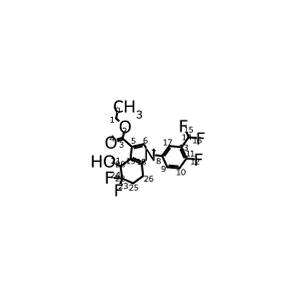 CCOC(=O)c1cn(-c2ccc(F)c(C(F)F)c2)c2c1C(O)C(F)(F)CC2